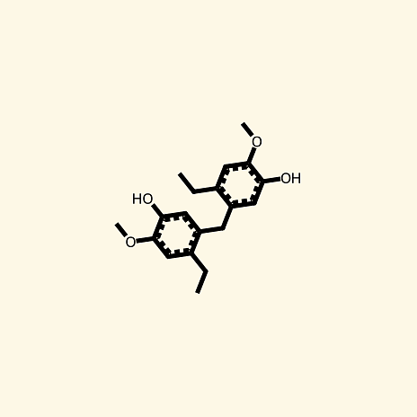 CCc1cc(OC)c(O)cc1Cc1cc(O)c(OC)cc1CC